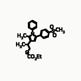 CCOC(=O)OCC(C)c1cc(-c2ccc(S(C)(=O)=O)cc2)n(-c2ccccc2)c1C